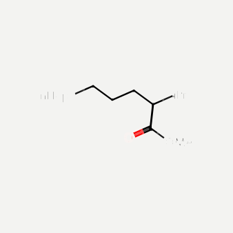 CCCCCCCCCCC(C(=O)OC)C(C)C